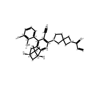 C=CC(=O)N1CC2(CCN(c3nc4c(c(-c5cccc(F)c5O)c3C#N)C[C@H]3C[C@@H]4C3(C)C)C2)C1